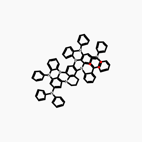 c1ccc(-c2ccccc2N2c3cc(N(c4ccccc4)c4ccccc4)cc4c3B(c3ccccc3N4c3ccccc3)c3cc4c5c(c32)CCCN5c2cc(N(c3ccccc3)c3ccccc3)cc3c2B4c2ccccc2N3c2ccccc2)cc1